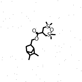 CC1C2CC(COC(=O)C3C[Si](C)(C)O[Si](C)(C)C3)C(C2)C1C